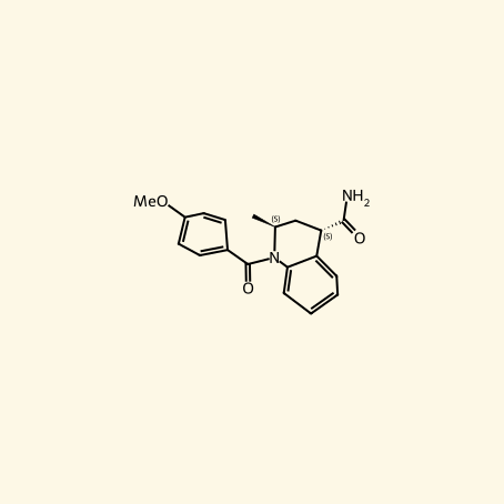 COc1ccc(C(=O)N2c3ccccc3[C@@H](C(N)=O)C[C@@H]2C)cc1